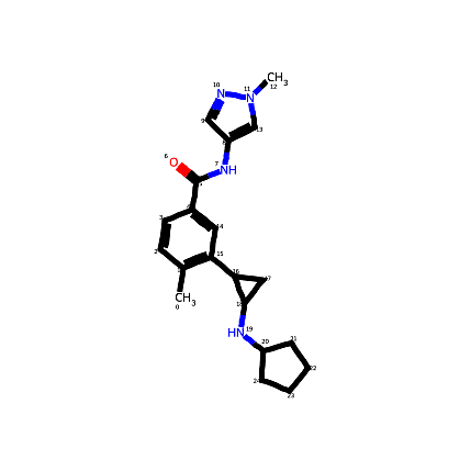 Cc1ccc(C(=O)Nc2cnn(C)c2)cc1C1CC1NC1CCCC1